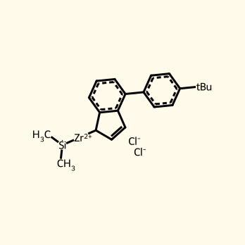 C[Si](C)[Zr+2][CH]1C=Cc2c(-c3ccc(C(C)(C)C)cc3)cccc21.[Cl-].[Cl-]